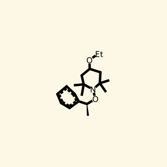 CCOC1CC(C)(C)N(O[C@@H](C)c2ccccc2)C(C)(C)C1